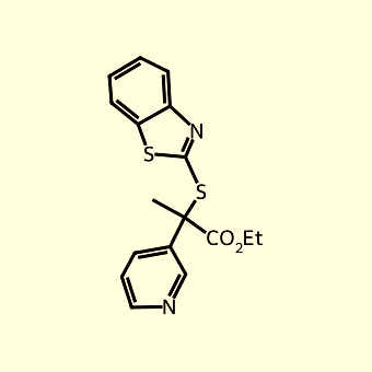 CCOC(=O)C(C)(Sc1nc2ccccc2s1)c1cccnc1